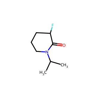 CC(C)N1CCCC(F)C1=O